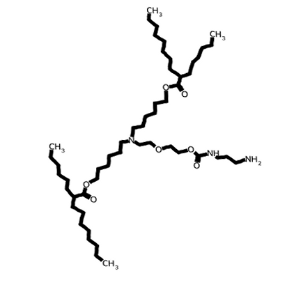 CCCCCCCCC(CCCCCC)C(=O)OCCCCCCN(CCCCCCOC(=O)C(CCCCCC)CCCCCCCC)CCOCCOC(=O)NCCCN